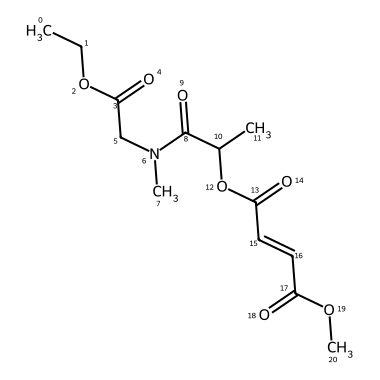 CCOC(=O)CN(C)C(=O)C(C)OC(=O)C=CC(=O)OC